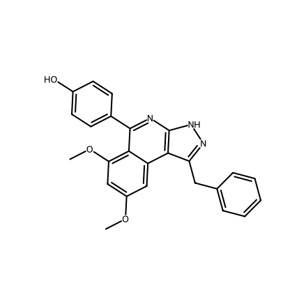 COc1cc(OC)c2c(-c3ccc(O)cc3)nc3[nH]nc(Cc4ccccc4)c3c2c1